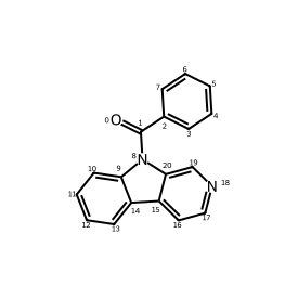 O=C(c1ccccc1)n1c2ccccc2c2ccncc21